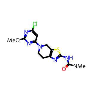 CNC(=O)Nc1nc2c(s1)CN(c1cc(Cl)nc(OC)n1)CC2